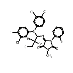 CN1C(=O)C(=NC(N(c2ccc(Cl)c(Cl)c2)c2ccc(Cl)c(Cl)c2)C(Br)(Br)CCl)N(c2ccccc2F)C1=O